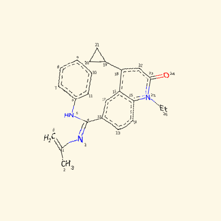 C=C(C)/N=C(\Nc1ccccc1)c1ccc2c(c1)c(C1CC1)cc(=O)n2CC